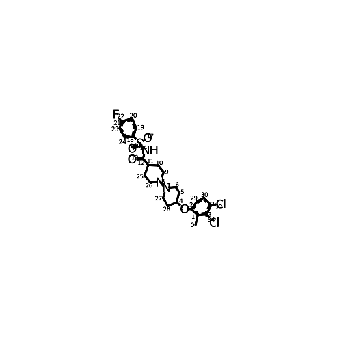 Cc1c(OC2CCN(N3CCC(C(=O)NS(=O)(=O)c4ccc(F)cc4)CC3)CC2)ccc(Cl)c1Cl